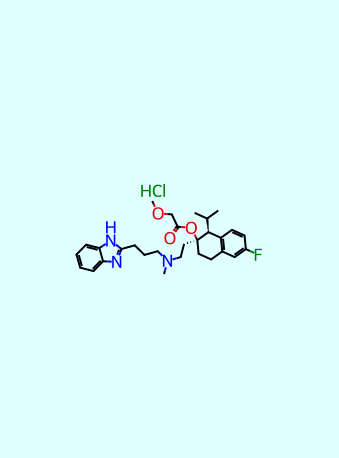 COCC(=O)O[C@]1(CCN(C)CCCc2nc3ccccc3[nH]2)CCc2cc(F)ccc2[C@@H]1C(C)C.Cl